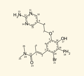 C/C(=C\c1cc(OCCc2cnc(N)nc2)c(O)c(P)c1Br)C(=O)N(C)C